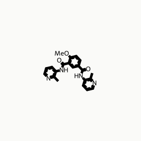 COc1ccc(C(=O)Nc2cccnc2C)cc1C(=O)Nc1cccnc1C